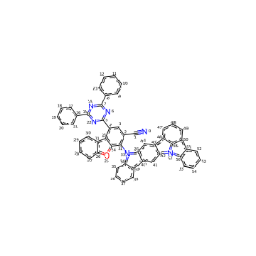 N#Cc1cc(-c2nc(-c3ccccc3)nc(-c3ccccc3)n2)c2c(oc3ccccc32)c1-n1c2ccccc2c2cc3c(cc21)c1cccc2c4ccccc4n3c21